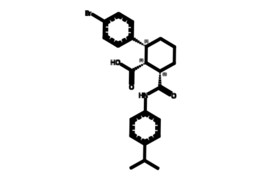 CC(C)c1ccc(NC(=O)[C@H]2CCC[C@@H](c3ccc(Br)cc3)[C@H]2C(=O)O)cc1